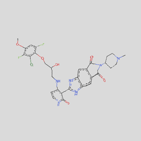 COc1cc(F)c(OCC(O)CNc2cc[nH]c(=O)c2-c2nc3cc4c(cc3[nH]2)C(=O)N(C2CCN(C)CC2)C4=O)c(Cl)c1F